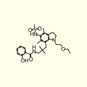 CCOCCN1CCc2c(C)c(NS(C)(=O)=O)c(C)c(CC(C)(C)CNC(=O)c3ccccc3O)c21